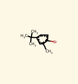 Cc1cc(C(C)(C)C)ccc1Br